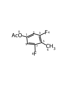 CC(=O)Oc1cc(F)c(C)c(F)c1